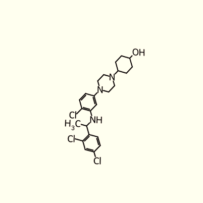 CC(Nc1cc(N2CCN(C3CCC(O)CC3)CC2)ccc1Cl)c1ccc(Cl)cc1Cl